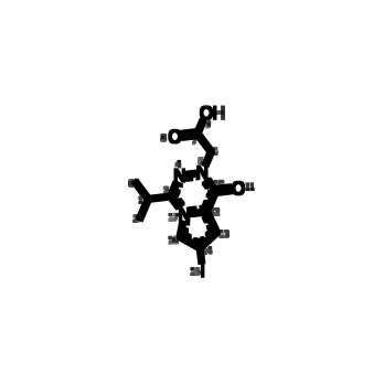 CC(C)c1nn(CC(=O)O)c(=O)c2cc(I)cn12